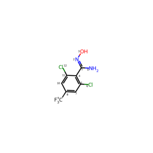 N/C(=N\O)c1c(Cl)cc(C(F)(F)F)cc1Cl